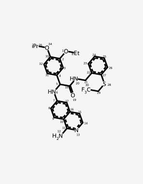 CCOc1cc(C(Nc2ccc3c(N)nccc3c2)C(=O)NCc2ccccc2SCC(F)(F)F)ccc1OC(C)C